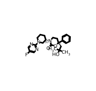 CC(C)(O)C[C@]1(c2ccccc2)CCN([C@H]2CCCN(c3ncc(F)cn3)C2)C(=O)O1